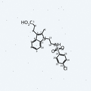 Cc1c(CCC(=O)O)c2ccccc2n1CCNS(=O)(=O)c1ccc(Cl)cc1